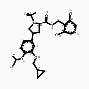 CC(=O)N1CC(c2ccc(OC(F)F)c(OCC3CC3)c2)C[C@@H]1C(=O)NCc1c(Cl)cncc1Cl